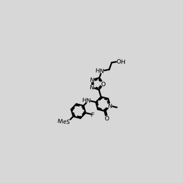 CSc1ccc(Nc2cc(=O)n(C)cc2-c2nnc(NCCO)o2)c(F)c1